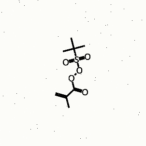 C=C(C)C(=O)OOS(=O)(=O)C(C)(C)C